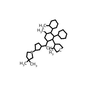 CC1CCCCC1C1C(C)CC(C(C)C2CCC(B3CCC(C)(C)C3)C2)C(C2CCCCC2C)C1C1CCCCC1